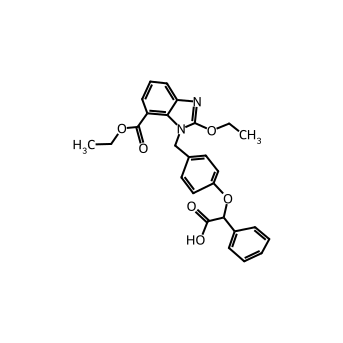 CCOC(=O)c1cccc2nc(OCC)n(Cc3ccc(OC(C(=O)O)c4ccccc4)cc3)c12